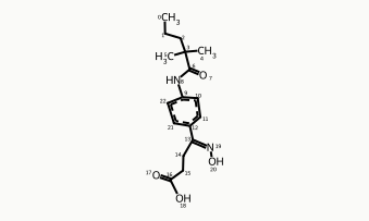 CCCC(C)(C)C(=O)Nc1ccc(C(CCC(=O)O)=NO)cc1